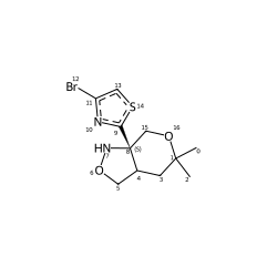 CC1(C)CC2CON[C@]2(c2nc(Br)cs2)CO1